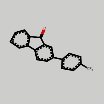 O=C1c2ccccc2-c2ccc(-c3ccc(C(F)(F)F)cc3)cc21